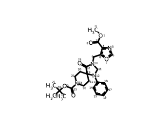 COC(=O)c1ncoc1CN1CN(c2ccccc2)C2(CCN(C(=O)OC(C)(C)C)CC2)C1=O